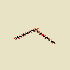 COCCOCCOCCOCCOCCOCCOP(O)OCCOCCOCCOCCOCCOCCOC